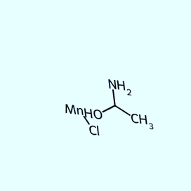 CC(N)O.[Cl][Mn]